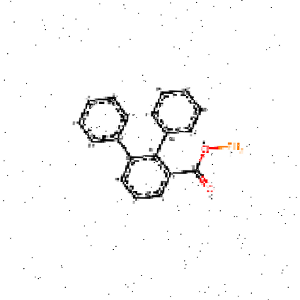 O=C(OP)c1cccc(-c2ccccc2)c1-c1ccccc1